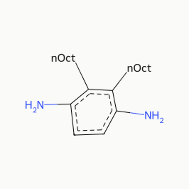 CCCCCCCCc1c(N)ccc(N)c1CCCCCCCC